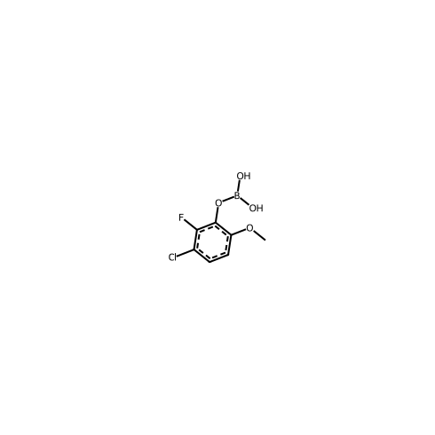 COc1ccc(Cl)c(F)c1OB(O)O